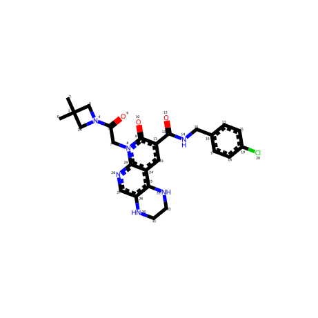 CC1(C)CN(C(=O)Cn2c(=O)c(C(=O)NCc3ccc(Cl)cc3)cc3c4c(cnc32)NCCN4)C1